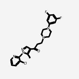 Cc1c(C(=O)CCN2CCN(c3cc(F)cc(F)c3)CC2)cnn1-c1ncccc1Cl